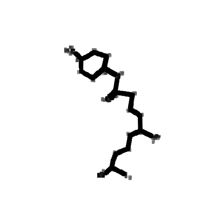 CCCC(I)CCCC(CCC)CCCC(=O)OC1CCC(C)CC1